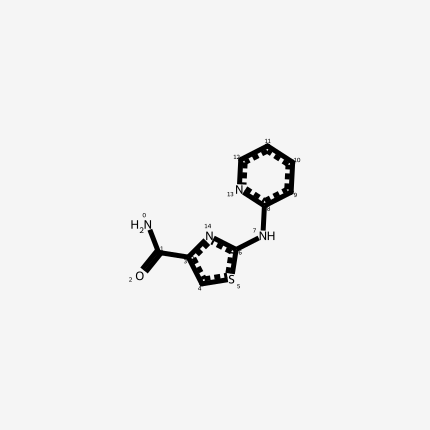 NC(=O)c1csc(Nc2ccccn2)n1